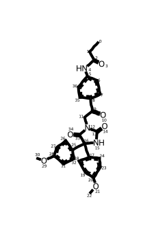 CCC(=O)Nc1ccc(C(=O)CN2C(=O)NC(c3ccc(OC)cc3)(c3ccc(OC)cc3)C2=O)cc1